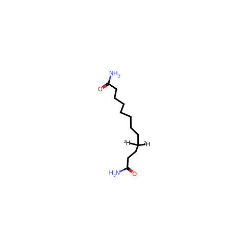 [2H]C([2H])(CCCCCCCC(N)=O)CCC(N)=O